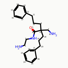 NCCNC(=O)C(CN)(CCCc1ccccc1)CCCc1ccccc1